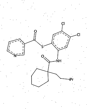 CC(C)CCC1(C(=O)Nc2cc(Cl)c(Cl)cc2SC(=O)c2cccnc2)CCCCC1